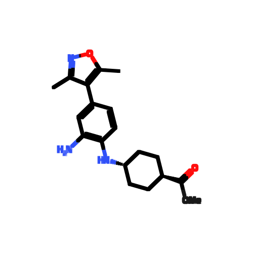 COC(=O)[C@H]1CC[C@H](Nc2ccc(-c3c(C)noc3C)cc2N)CC1